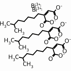 CC(C)CCCCCC(=CC(=O)[O-])C(=O)[O-].CC(C)CCCCCC(=CC(=O)[O-])C(=O)[O-].CC(C)CCCCCC(=CC(=O)[O-])C(=O)[O-].[Bi+3].[Bi+3]